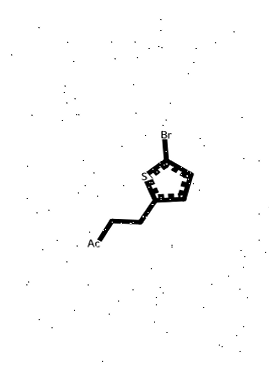 CC(=O)CCc1ccc(Br)s1